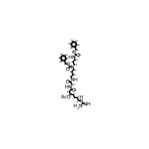 CC(=O)OC(CCCCNC(=N)N)CC(=O)NCC(=O)NCCCCN(CCCNC(=O)OCc1ccccc1)C(=O)OCc1ccccc1